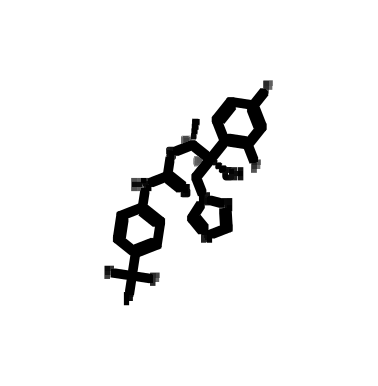 C[C@@H](SC(=S)Nc1ccc(C(F)(F)F)cc1)[C@](O)(Cn1cncn1)c1ccc(F)cc1F